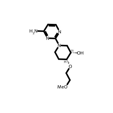 COCCO[C@@H]1CCN(c2nccc(N)n2)C[C@@H]1O